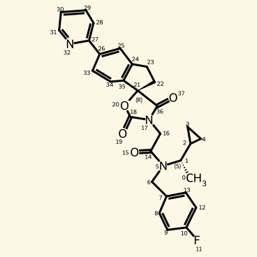 C[C@@H](C1CC1)N(Cc1ccc(F)cc1)C(=O)CN1C(=O)O[C@@]2(CCc3cc(-c4ccccn4)ccc32)C1=O